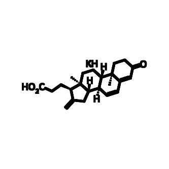 C=C1C[C@H]2[C@@H]3C=CC4=CC(=O)CC[C@]4(C)[C@H]3CC[C@]2(C)[C@@H]1CCC(=O)O.[KH]